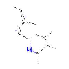 C/C=C(C)\C=C/CNC(C)C(C)C(C)C